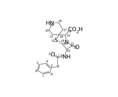 O=C(Cc1ccccc1)NC1C(=O)N2C1SC1(CCNCC1)C2C(=O)O